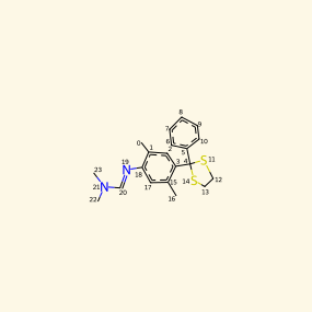 Cc1cc(C2(c3ccccc3)SCCS2)c(C)cc1N=CN(C)C